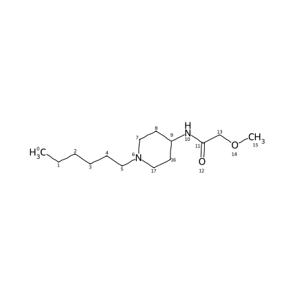 CCCCCCN1CCC(NC(=O)COC)CC1